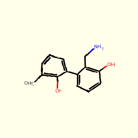 NCc1c(O)cccc1-c1cccc(C=O)c1O